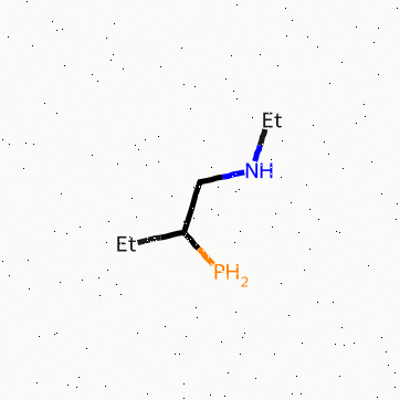 CCNCC(P)CC